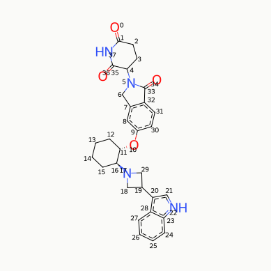 O=C1CCC(N2Cc3cc(O[C@H]4CCCC[C@@H]4N4CC(c5c[nH]c6ccccc56)C4)ccc3C2=O)C(=O)N1